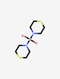 Br[Si](Br)(N1CCSCC1)N1CCSCC1